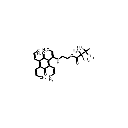 C/C=C\C1=C(/C=C\C)C(=O)C(C(=C\C)/NCCOC(=O)C(C)(C)C(C)(C)I)=C(/C=C\C)C1=O